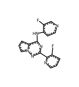 Fc1cnccc1Nc1nc(-c2ncccc2F)nn2cccc12